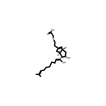 CC(C)=CCCCCCC=C(O)[C@H]1[C@@H]2CC(CCOCC(=O)O)=C[C@@H]2C[C@@H]1O